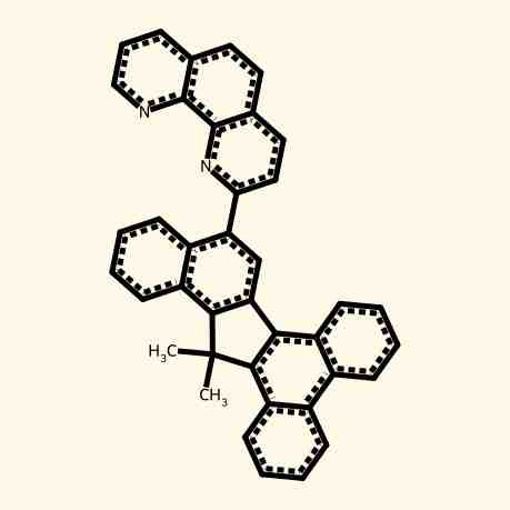 CC1(C)c2c(cc(-c3ccc4ccc5cccnc5c4n3)c3ccccc23)-c2c1c1ccccc1c1ccccc21